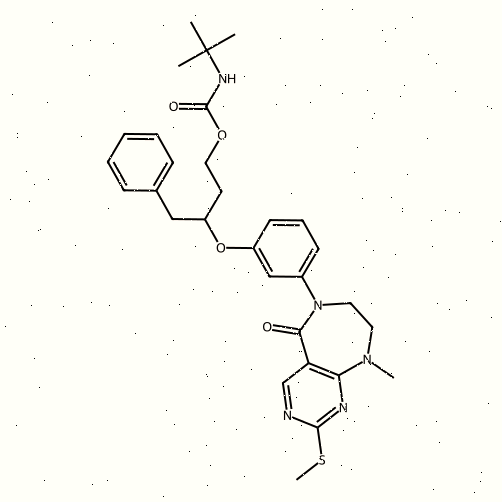 CSc1ncc2c(n1)N(C)CCN(c1cccc(OC(CCOC(=O)NC(C)(C)C)Cc3ccccc3)c1)C2=O